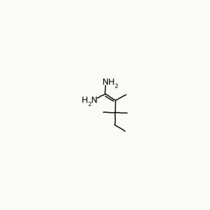 CCC(C)(C)C(C)=C(N)N